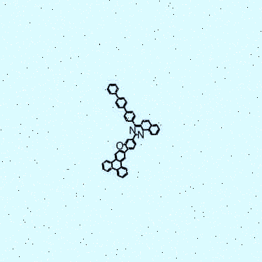 c1ccc(-c2ccc(-c3ccc(-c4nc(-c5ccc6c(c5)oc5cc7c8ccccc8c8ccccc8c7cc56)nc5c4ccc4ccccc45)cc3)cc2)cc1